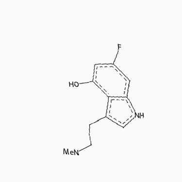 CNCCc1c[nH]c2cc(F)cc(O)c12